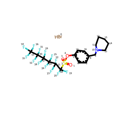 Br.O=S(=O)(Oc1ccc(CN2CCCCC2)cc1)C(F)(F)C(F)(F)C(F)(F)C(F)(F)C(F)(F)C(F)(F)F